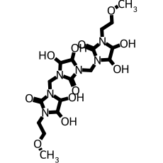 COCCN1C(=O)N(CN2C(=O)N(CN3C(=O)N(CCOC)C(O)C3O)C(O)C2O)C(O)C1O